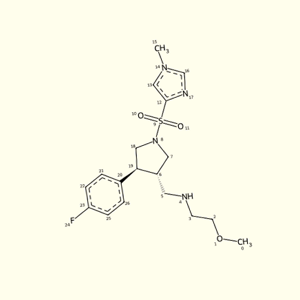 COCCNC[C@H]1CN(S(=O)(=O)c2cn(C)cn2)C[C@@H]1c1ccc(F)cc1